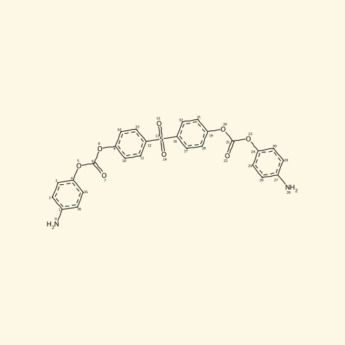 Nc1ccc(OC(=O)Oc2ccc(S(=O)(=O)c3ccc(OC(=O)Oc4ccc(N)cc4)cc3)cc2)cc1